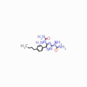 CCCCc1ccc(-c2nnc(N(N)C(N)=O)nc2N(N)C(N)=O)cc1